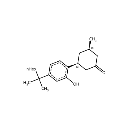 CCCCCCC(C)(C)c1ccc([C@@H]2CC(=O)C[C@H](C)C2)c(O)c1